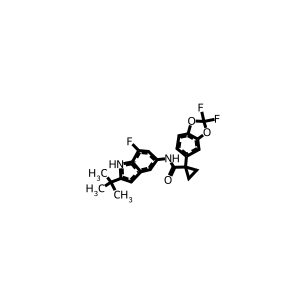 CC(C)(C)c1cc2cc(NC(=O)C3(c4ccc5c(c4)OC(F)(F)O5)CC3)cc(F)c2[nH]1